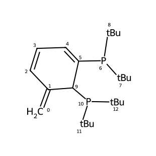 C=C1C=CC=C(P(C(C)(C)C)C(C)(C)C)C1P(C(C)(C)C)C(C)(C)C